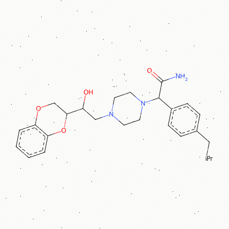 CC(C)Cc1ccc(C(C(N)=O)N2CCN(CC(O)C3COc4ccccc4O3)CC2)cc1